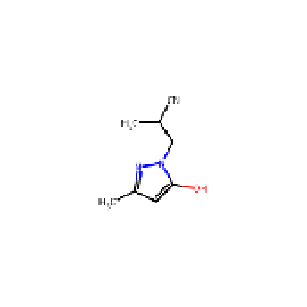 Cc1cc(O)n(CC(C)C#N)n1